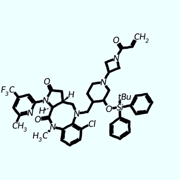 C=CC(=O)N1CC(N2CCC(CN3C[C@H]4CC(=O)N(c5cc(C(F)(F)F)cc(C)n5)[C@@H]4C(=O)N(C)c4cccc(Cl)c43)C(O[Si](c3ccccc3)(c3ccccc3)C(C)(C)C)C2)C1